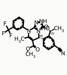 COC(=O)C1=C(C)N(c2cccc(C(F)(F)F)c2)c2n[nH]c(=O)n2[C@@H]1c1ccc(C#N)cc1[C@H](C)O